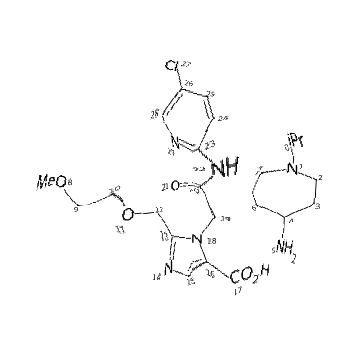 CC(C)N1CCC(N)CC1.COCCOCc1ncc(C(=O)O)n1CC(=O)Nc1ccc(Cl)cn1